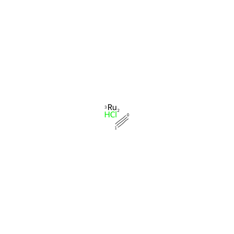 C#C.Cl.[Ru]